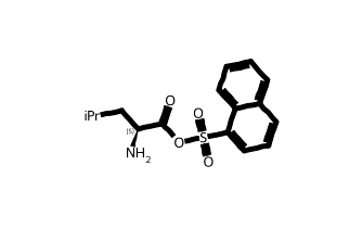 CC(C)C[C@H](N)C(=O)OS(=O)(=O)c1cccc2ccccc12